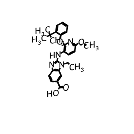 CCn1c(Nc2ccc(OC)nc2Oc2ccccc2C(C)(C)C)nc2ccc(C(=O)O)cc21